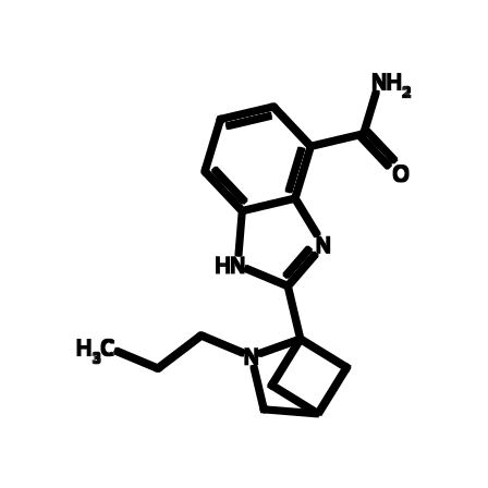 CCCN1CC2CC1(c1nc3c(C(N)=O)cccc3[nH]1)C2